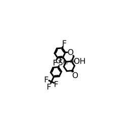 O=C1CC[C@@]2([S+]([O-])c3ccc(C(F)(F)F)cc3)c3c(F)ccc(F)c3OC[C@@]2(O)C1